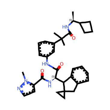 C[C@H](NC(=O)C(C)(C)c1cccc(NC(=O)[C@@H](NC(=O)c2ccnn2C)C2c3ccccc3CC23CC3)c1)C1CCC1